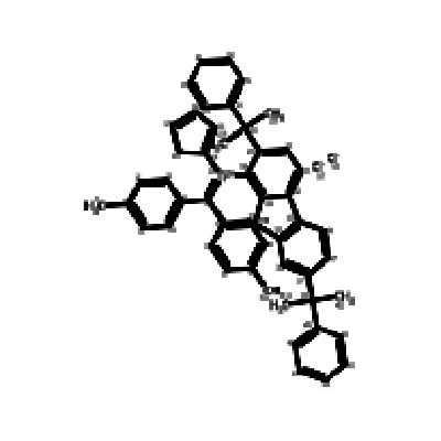 Cc1ccc([C](c2ccc(C)cc2)=[Ti+2]([C]2=CC=CC2)[c]2c(C(C)(C)c3ccccc3)ccc3c2Cc2cc(C(C)(C)c4ccccc4)ccc2-3)cc1.[Cl-].[Cl-]